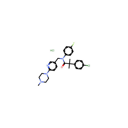 CN1CCN(c2ccc(CN(C(=O)C(C)(C)c3ccc(Cl)cc3)c3ccc(F)cc3)cn2)CC1.Cl